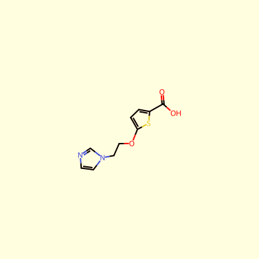 O=C(O)c1ccc(OCCn2ccnc2)s1